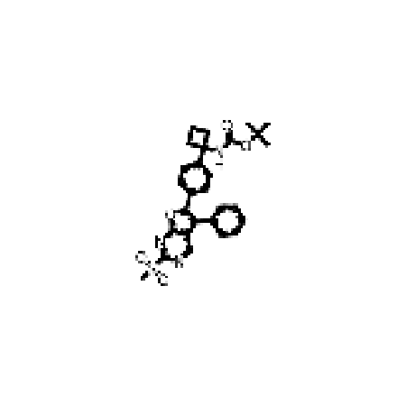 CC(C)(C)OC(=O)NC1(c2ccc(-c3oc4nc(S(C)(=O)=O)ncc4c3-c3ccccc3)cc2)CCC1